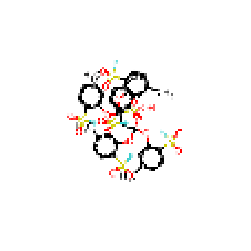 Cc1ccc(S(=O)(=O)F)c(OC(CC(Oc2cc(C)ccc2S(=O)(=O)F)(Oc2cc(C)ccc2S(=O)(=O)F)S(=O)(=O)O)(Oc2cc(C)ccc2S(=O)(=O)F)Oc2cc(C)ccc2S(=O)(=O)F)c1